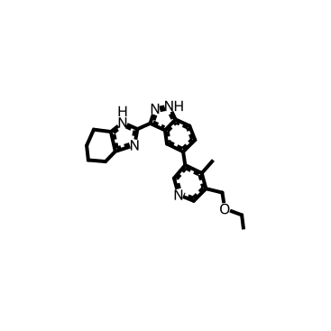 CCOCc1cncc(-c2ccc3[nH]nc(-c4nc5c([nH]4)CCCC5)c3c2)c1C